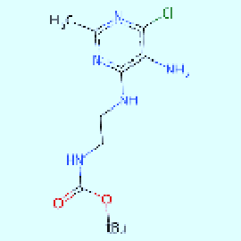 Cc1nc(Cl)c(N)c(NCCNC(=O)OC(C)(C)C)n1